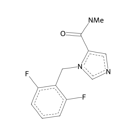 CNC(=O)c1cncn1Cc1c(F)cccc1F